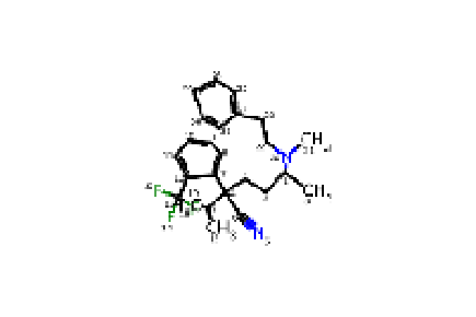 CC(CCC(C#N)(c1ccccc1C(F)(F)F)C(C)C)N(C)CCc1ccccc1